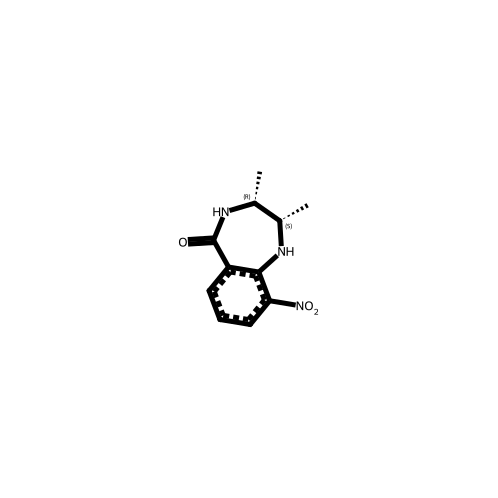 C[C@@H]1Nc2c(cccc2[N+](=O)[O-])C(=O)N[C@@H]1C